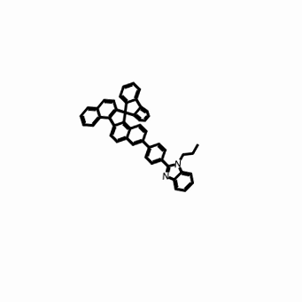 CCCn1c(-c2ccc(-c3ccc4c5c(ccc4c3)-c3c(ccc4ccccc34)C53c4ccccc4-c4ccccc43)cc2)nc2ccccc21